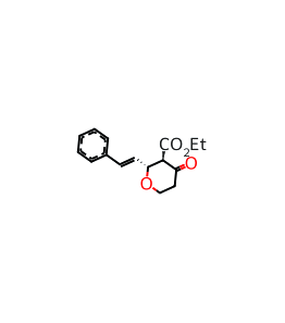 CCOC(=O)[C@H]1C(=O)CCO[C@@H]1/C=C/c1ccccc1